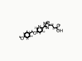 COc1ccc(COc2ccc(-c3noc(CCC(=O)O)n3)nc2)cc1